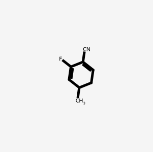 CC1C=C(F)C(C#N)=CC1